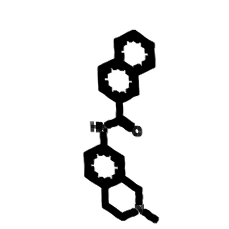 CN1CCc2ccc(NC(=O)c3ccc4ccccc4c3)cc2C1